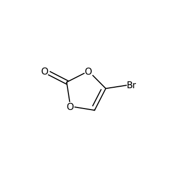 O=c1occ(Br)o1